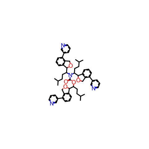 CC(C)CCC(OC(=O)N(C(CCC(C)C)C1OCc2c(-c3cccnc3)cccc21)C(CCC(C)C)C1OCc2c(-c3cccnc3)cccc21)C1OCc2c(-c3cccnc3)cccc21